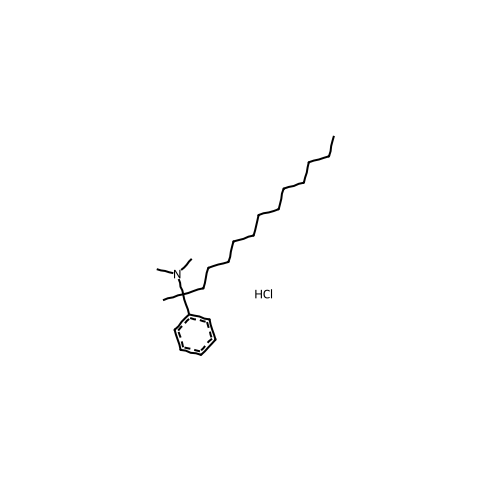 CCCCCCCCCCCCC(C)(c1ccccc1)N(C)C.Cl